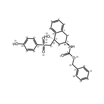 O=C(N[C@@H]1Cc2ccccc2[C@](O)(CS(=O)(=O)c2ccc(O)cc2)C1)OCc1ccccc1